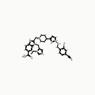 CCn1cncc1Cn1c(CN2CCC(c3ccn(OCc4ccc(C#N)cc4F)n3)CC2)nc2ccc(C(=O)O)cc21